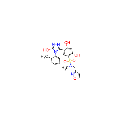 Cc1ccccc1-n1c(O)nnc1-c1cc(S(=O)(=O)N(C)Cc2ccon2)c(O)cc1O